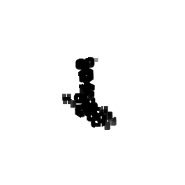 CN(C(=O)C1CCCN1C(=O)OC(C)(C)C)c1nc(-c2ccc([N+](=O)[O-])cc2)cs1